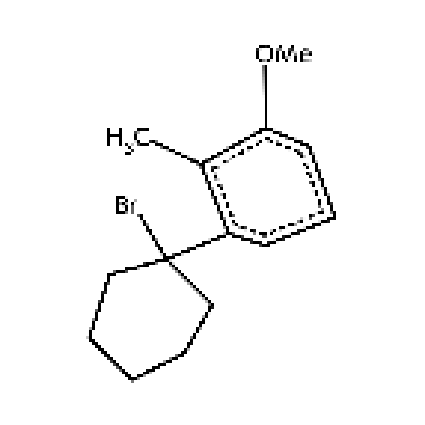 COc1cccc(C2(Br)CCCCC2)c1C